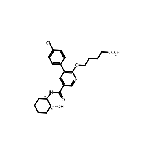 O=C(O)CCCCOc1ncc(C(=O)N[C@@H]2CCCC[C@H]2O)cc1-c1ccc(Cl)cc1